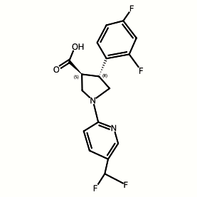 O=C(O)[C@@H]1CN(c2ccc(C(F)F)cn2)C[C@H]1c1ccc(F)cc1F